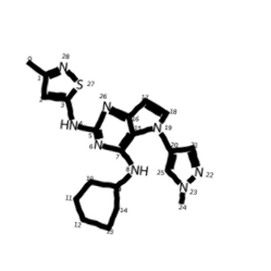 Cc1cc(Nc2nc(NC3CCCCC3)c3c(ccn3-c3cnn(C)c3)n2)sn1